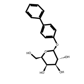 OC[C@H]1O[C@@H](Oc2ccc(-c3ccccc3)cc2)[C@H](O)[C@@H](O)[C@H]1O